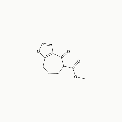 COC(=O)C1CCCc2occc2C1=O